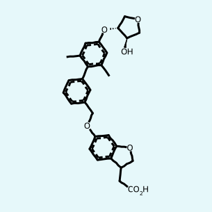 Cc1cc(O[C@@H]2COC[C@H]2O)cc(C)c1-c1cccc(COc2ccc3c(c2)OCC3CC(=O)O)c1